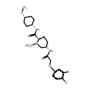 O=C(COc1ccc(Cl)c(F)c1)N[C@H]1CC[C@H](C(=O)N[C@H]2CC[C@@H](OC(F)(F)F)CC2)N(C(=O)O)C1